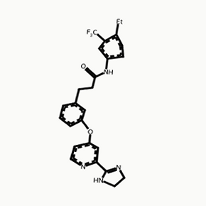 CCc1ccc(NC(=O)CCc2cccc(Oc3ccnc(C4=NCCN4)c3)c2)cc1C(F)(F)F